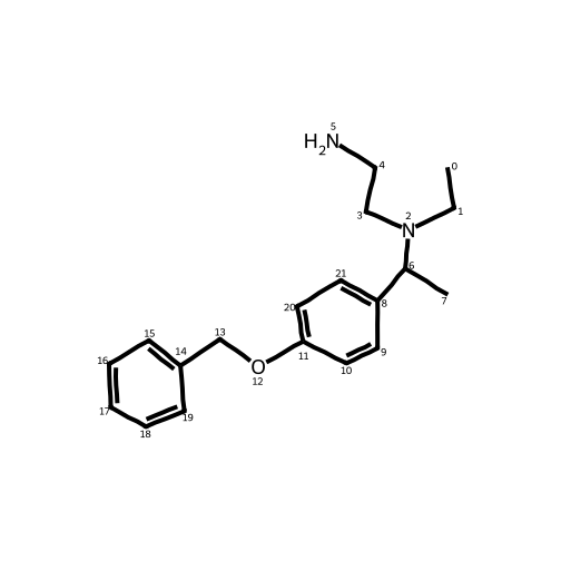 CCN(CCN)C(C)c1ccc(OCc2ccccc2)cc1